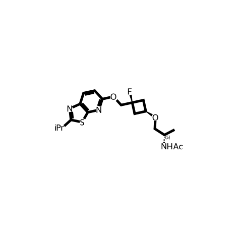 CC(=O)N[C@@H](C)CO[C@H]1C[C@](F)(COc2ccc3nc(C(C)C)sc3n2)C1